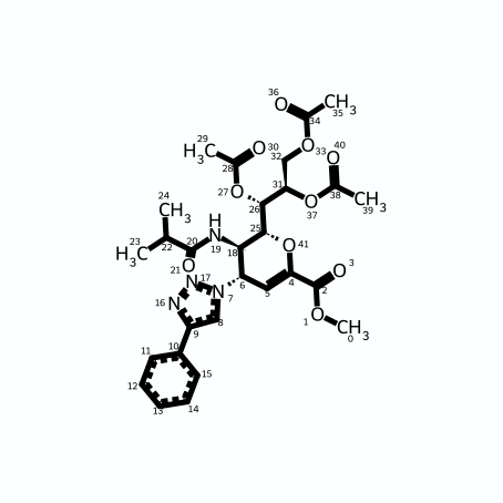 COC(=O)C1=C[C@H](n2cc(-c3ccccc3)nn2)[C@@H](NC(=O)C(C)C)[C@H]([C@H](OC(C)=O)[C@@H](COC(C)=O)OC(C)=O)O1